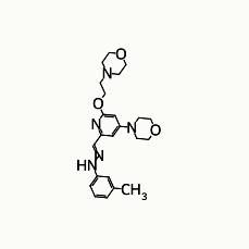 Cc1cccc(NN=Cc2cc(N3CCOCC3)cc(OCCN3CCOCC3)n2)c1